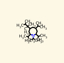 CC(C)C1CC(C(C)C)N(C(C)C)C(C(C)C)CC(C(C)(C)C(C)C)C1